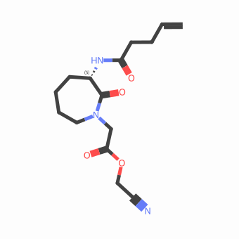 C=CCCC(=O)N[C@H]1CCCCN(CC(=O)OCC#N)C1=O